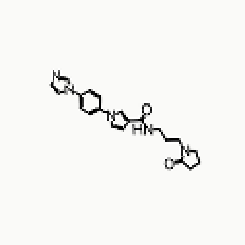 O=C(NCCCN1CCCC1=O)c1ccn(-c2ccc(-n3ccnc3)cc2)c1